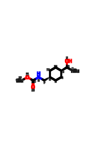 CCCCC(O)[C@H]1CC[C@H](CNC(=O)OC(C)(C)C)CC1